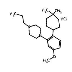 CCCN1CCN(c2cc(OC)ccc2C2CCC(C)(C)CC2)CC1.Cl